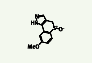 COc1ccc2c(c1)-c1[nH]ncc1C[S+]2[O-]